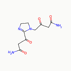 NC(=O)CC(=O)CN1CCN=C1C(=O)CC(N)=O